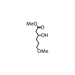 COCCCC(O)CC(=O)OC